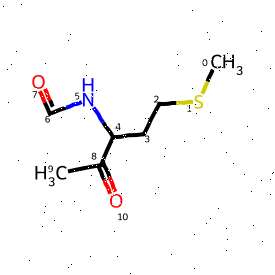 CSCCC(NC=O)C(C)=O